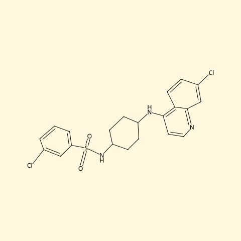 O=S(=O)(NC1CCC(Nc2ccnc3cc(Cl)ccc23)CC1)c1cccc(Cl)c1